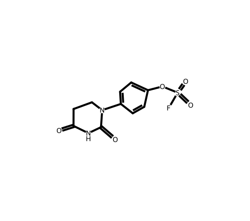 O=C1CCN(c2ccc(OS(=O)(=O)F)cc2)C(=O)N1